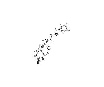 O=C(NCCSCc1ccco1)Nc1ccc(Br)cc1F